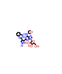 OCC1OC(n2cnc3c(N[C@@H]4CCOC4)nc(-c4n[nH]cc4-c4ncc5ccccc5n4)nc32)C(O)C1O